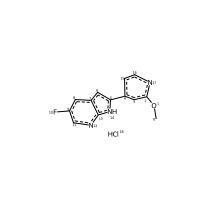 COc1cc(-c2cc3cc(F)cnc3[nH]2)ccn1.Cl